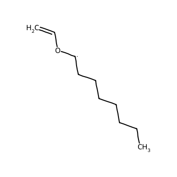 C=CO[CH]CCCCCCC